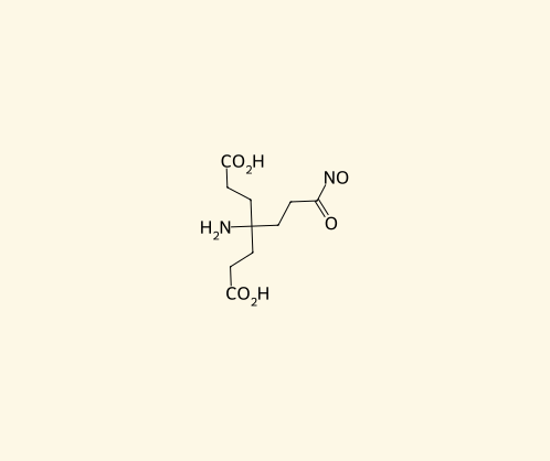 NC(CCC(=O)O)(CCC(=O)O)CCC(=O)N=O